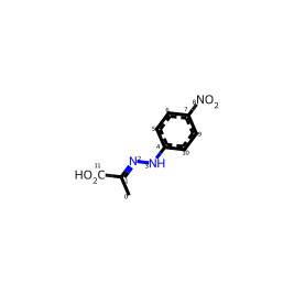 C/C(=N\Nc1ccc([N+](=O)[O-])cc1)C(=O)O